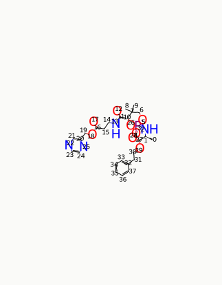 C[C@H](NP1(=O)OCC(C)(C)[C@H](C(=O)NCCC(=O)OCc2cnccn2)O1)C(=O)OCCc1ccccc1